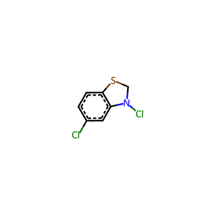 Clc1ccc2c(c1)N(Cl)CS2